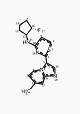 Cc1ccn2c(-c3cccc(N[C@H]4CCC[C@@H]4F)n3)cnc2c1